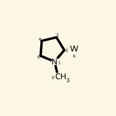 CN1CCCC1.[W]